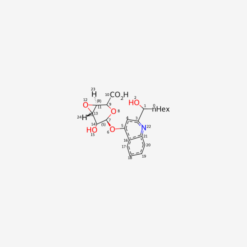 CCCCCCC(O)c1cc(O[C@@H]2OC(C(=O)O)[C@@H]3O[C@H]3C2O)c2ccccc2n1